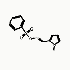 Cn1cccc1/C=N/OS(=O)(=O)c1ccccc1